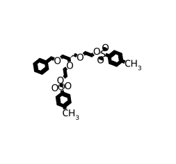 Cc1ccc(S(=O)(=O)OCCOC[C@@H](COCc2ccccc2)OCCOS(=O)(=O)c2ccc(C)cc2)cc1